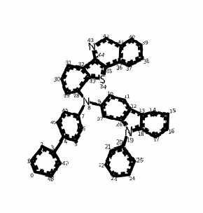 c1ccc(-c2ccc(N(c3ccc4c5ccccc5n(-c5ccccc5)c4c3)c3cccc4c3sc3c5ccccc5cnc43)cc2)cc1